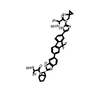 CCC1(CN(C(=O)C(NC(C)=O)C(C)C)c2ncc(-c3ccc4c(c3)C(F)(F)c3cc(-c5ccc6nc([C@@H]7C8CCC(C8)N7C(=O)C(NC)C(C)C)[nH]c6c5)ccc3-4)[nH]2)CC1